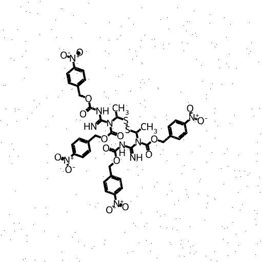 CC(SSC(C)N(C(=N)NC(=O)OCc1ccc([N+](=O)[O-])cc1)C(=O)OCc1ccc([N+](=O)[O-])cc1)N(C(=N)NC(=O)OCc1ccc([N+](=O)[O-])cc1)C(=O)OCc1ccc([N+](=O)[O-])cc1